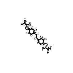 FC(F)=C(F)Oc1ccc(C=Cc2ccc(OC(F)=C(F)F)cc2)cc1